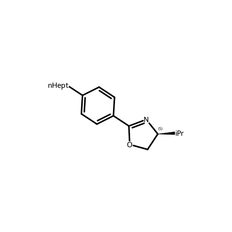 CCCCCCCc1ccc(C2=N[C@@H](C(C)C)CO2)cc1